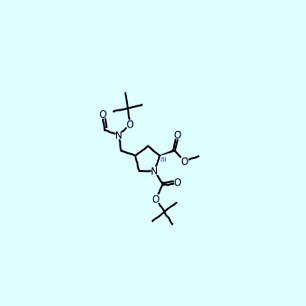 COC(=O)[C@@H]1CC(CN(C=O)OC(C)(C)C)CN1C(=O)OC(C)(C)C